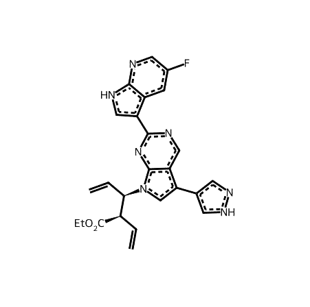 C=C[C@H]([C@@H](C=C)C(=O)OCC)n1cc(-c2cn[nH]c2)c2cnc(-c3c[nH]c4ncc(F)cc34)nc21